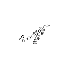 O=C(NS(=O)(=O)c1cc2c(c([N+](=O)[O-])c1)N[C@@H](C1CCC(O)CC1)CO2)c1ccc(N2CCC3(CC2)CC(N2CCC[C@H]2c2ccccc2C2CC2)C3)cc1N1c2cc3cc[nH]c3nc2O[C@@H]2CCOC[C@@H]21